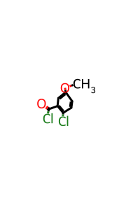 COc1ccc(Cl)c(C(=O)Cl)c1